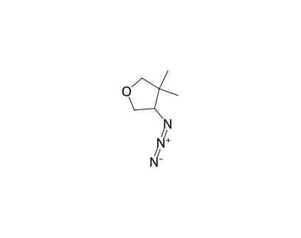 CC1(C)COCC1N=[N+]=[N-]